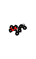 c1ccc(-c2cccc(-n3c4ccccc4c4ccc5c6c7c(ccc6n(-c6ccc8c(c6)-c6cccc9cccc-8c69)c5c43)oc3ccccc37)c2)cc1